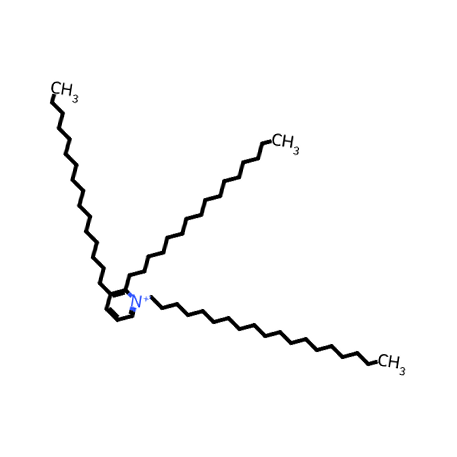 CCCCCCCCCCCCCCCCCCC[n+]1cccc(CCCCCCCCCCCCCCCC)c1CCCCCCCCCCCCCCCC